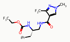 CC(C)C[C@@H](CNC(=O)c1cn(C)nc1C(F)(F)F)NC(=O)OCC(F)(F)F